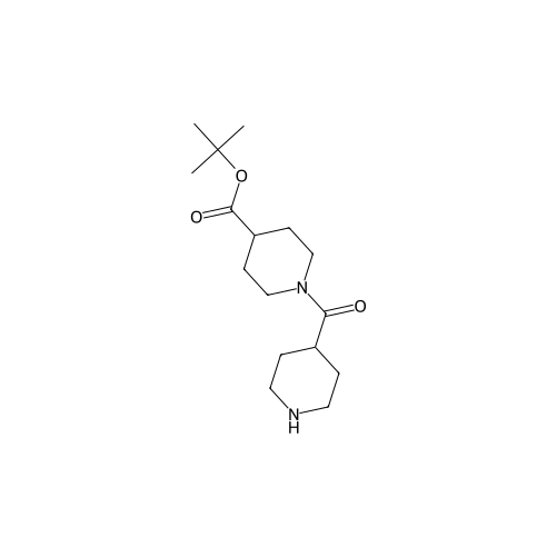 CC(C)(C)OC(=O)C1CCN(C(=O)C2CCNCC2)CC1